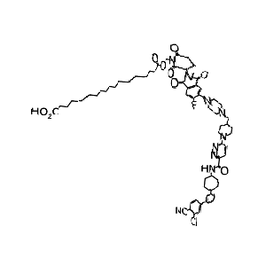 N#Cc1ccc(OC2CCC(NC(=O)c3ccc(N4CCC(CN5CCN(c6cc7c(cc6F)C(=O)N(C6CCC(=O)N(COC(=O)CCCCCCCCCCCCCCCCC(=O)O)C6=O)C7=O)CC5)CC4)nn3)CC2)cc1Cl